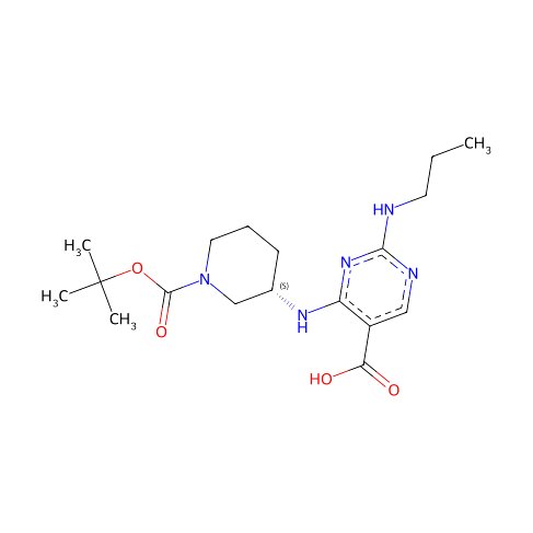 CCCNc1ncc(C(=O)O)c(N[C@H]2CCCN(C(=O)OC(C)(C)C)C2)n1